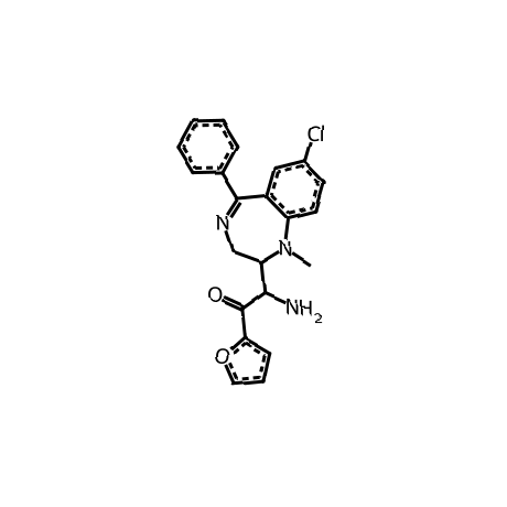 CN1c2ccc(Cl)cc2C(c2ccccc2)=NCC1C(N)C(=O)c1ccco1